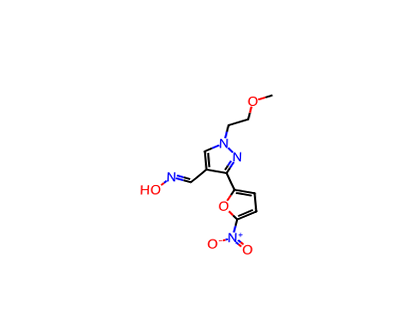 COCCn1cc(C=NO)c(-c2ccc([N+](=O)[O-])o2)n1